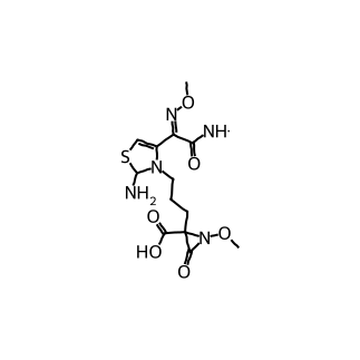 CON=C(C([NH])=O)C1=CSC(N)N1CCCC1(C(=O)O)C(=O)N1OC